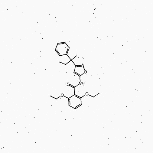 CCOc1cccc(OCC)c1C(=S)Nc1cc(C(C)(CC)c2ccccc2)no1